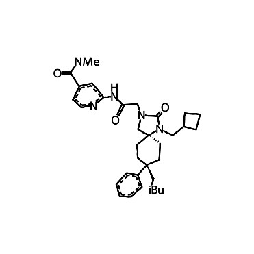 CCC(C)C[C@]1(c2ccccc2)CC[C@]2(CC1)CN(CC(=O)Nc1cc(C(=O)NC)ccn1)C(=O)N2CC1CCC1